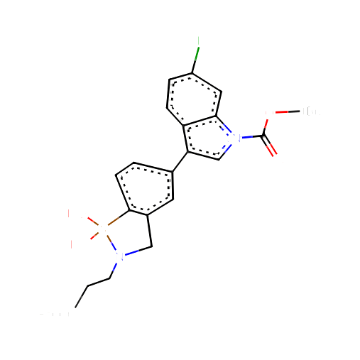 CCOC(=O)CCN1Cc2cc(-c3cn(C(=O)OC(C)(C)C)c4cc(F)ccc34)ccc2S1(O)O